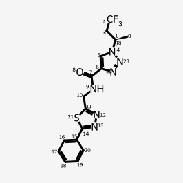 C[C@H](CC(F)(F)F)n1cc(C(=O)NCc2nnc(-c3ccccc3)s2)nn1